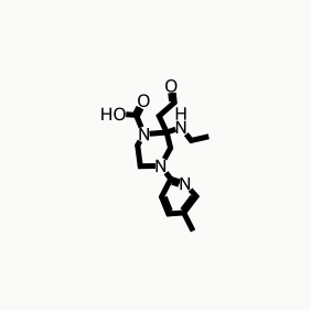 CCNC1(CC=O)CN(c2ccc(C)cn2)CCN1C(=O)O